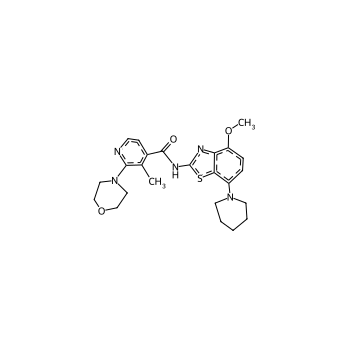 COc1ccc(N2CCCCC2)c2sc(NC(=O)c3ccnc(N4CCOCC4)c3C)nc12